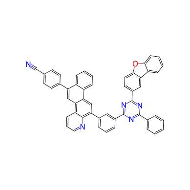 N#Cc1ccc(-c2cc3c4cccnc4c(-c4cccc(-c5nc(-c6ccccc6)nc(-c6ccc7oc8ccccc8c7c6)n5)c4)cc3c3ccccc23)cc1